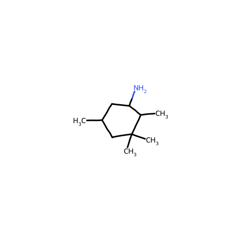 CC1CC(N)C(C)C(C)(C)C1